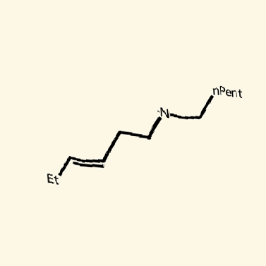 [CH2]CC=CCC[N]CCCCCC